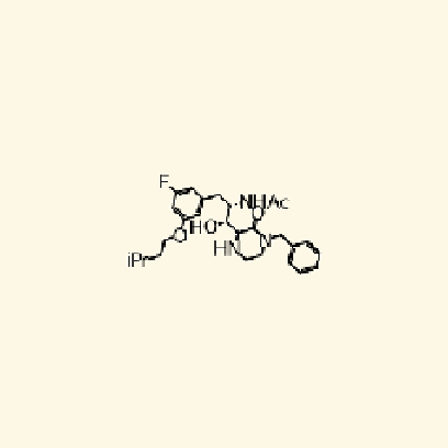 CC(=O)N[C@@H](Cc1cc(F)cc(OCCC(C)C)c1)[C@H](O)[C@@H]1NCCN(Cc2ccccc2)C1=O